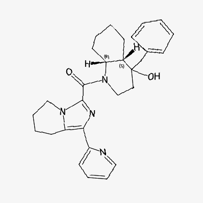 O=C(c1nc(-c2ccccn2)c2n1CCCC2)N1CCC(O)(c2ccccc2)[C@H]2CCCC[C@H]21